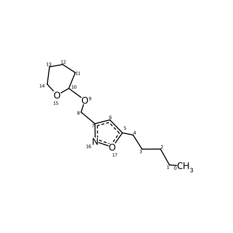 CCCCCc1cc(COC2CCCCO2)no1